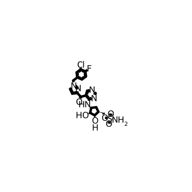 NS(=O)(=O)OC[C@H]1C[C@@H](Nc2ncncc2C(=O)c2ccn(Cc3ccc(F)c(Cl)c3)n2)[C@H](O)[C@@H]1O